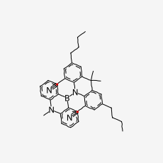 CCCCc1cc(C#N)c2c(c1)C(C)(C)c1cc(CCCC)cc(C#N)c1N2B1c2ccccc2N(C)c2ccccc21